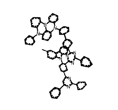 Cc1ccc2c(c1)c1ccccc1n2-c1ccc(-c2cc(-c3ccccc3)nc(-c3ccccc3)n2)cc1-c1nc(-c2ccccc2)nc(-c2ccc(-c3cccc(N4c5ccccc5B5c6ccccc6N(c6ccccc6)c6cccc4c65)c3)cc2)n1